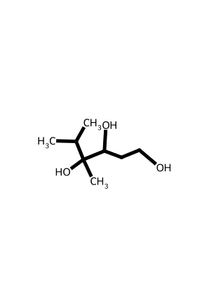 CC(C)C(C)(O)C(O)CCO